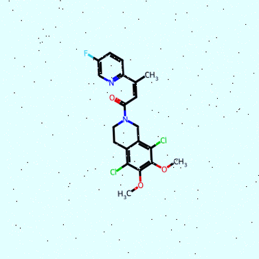 COc1c(Cl)c2c(c(Cl)c1OC)CN(C(=O)C=C(C)c1ccc(F)cn1)CC2